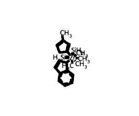 CC1=CC[C]([Zr]([CH3])([CH3])([CH3])([CH3])(=[SiH2])(=[SiH2])[CH]2C=Cc3ccccc32)=C1